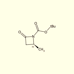 C[C@H]1CC(=O)N1C(=O)OC(C)(C)C